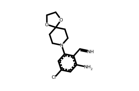 N=Cc1c(N)cc(Cl)cc1N1CCC2(CC1)OCCO2